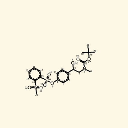 CN(CC(O)c1ccc(OS(=O)(=O)c2ccccc2S(C)(=O)=O)cc1)C(=O)OC(C)(C)C